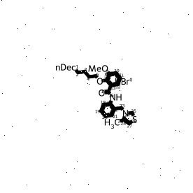 Br.CCCCCCCCCCCCCCOc1c(OC)cccc1C(=O)Nc1ccccc1CN1CSC=C1C